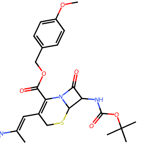 COc1ccc(COC(=O)C2=C(/C=C(\C)N(C)C)CSC3C(NC(=O)OC(C)(C)C)C(=O)N23)cc1